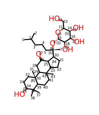 CC(C)CCC[C@](C)(O[C@@H]1OC(CO)[C@@H](O)C(O)C1O)C1CC[C@]2(C)C1C(=O)CC1[C@@]3(C)CC[C@H](O)C(C)(C)C3CC[C@]12C